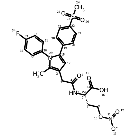 Cc1c(CC(=O)N[C@@H](CCO[N+](=O)[O-])C(=O)O)cc(-c2ccc(S(C)(=O)=O)cc2)n1-c1ccc(F)cc1